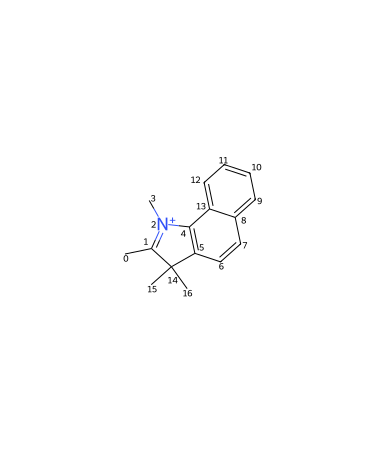 CC1=[N+](C)c2c(ccc3ccccc23)C1(C)C